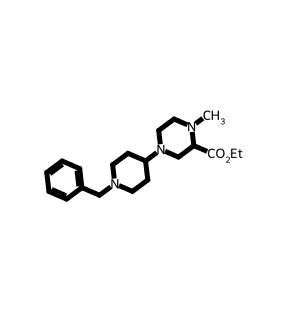 CCOC(=O)C1CN(C2CCN(Cc3ccccc3)CC2)CCN1C